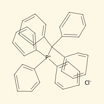 [Cl-].c1ccc(C(c2ccccc2)(c2ccccc2)[P+](c2ccccc2)(c2ccccc2)c2ccccc2)cc1